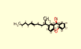 CCCCC=CCCC(C)c1ccc2oc3ccccc3c(=O)c2c1